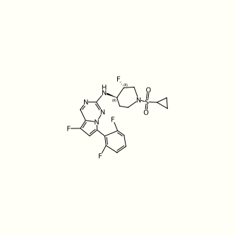 O=S(=O)(C1CC1)N1CC[C@@H](Nc2ncc3c(F)cc(-c4c(F)cccc4F)n3n2)[C@H](F)C1